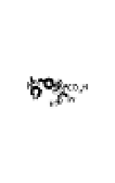 CCOC[C@H](CC(C)C)N(CC(=O)O)S(=O)(=O)c1ccc(Cn2c(C)nc3cnccc32)cc1